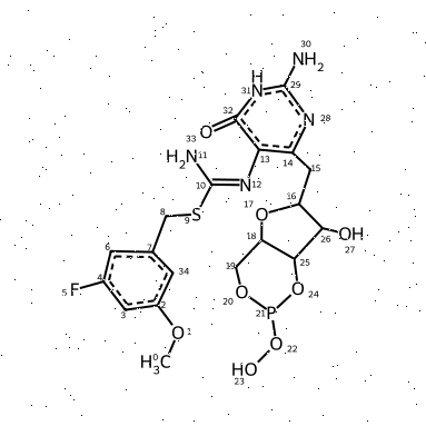 COc1cc(F)cc(CS/C(N)=N/c2c(CC3OC4COP(OO)OC4C3O)nc(N)[nH]c2=O)c1